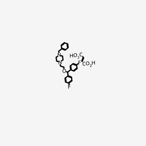 Fc1ccc(C(OCCN2CCN(Cc3ccccc3)CC2)c2ccc(F)cc2)cc1.O=C(O)C=CC(=O)O